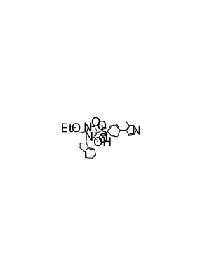 CCOCc1nc(=O)c(S(=O)(=O)c2ccc(-c3ccncc3C)cc2)c(O)n1[C@H]1CCc2ccccc21